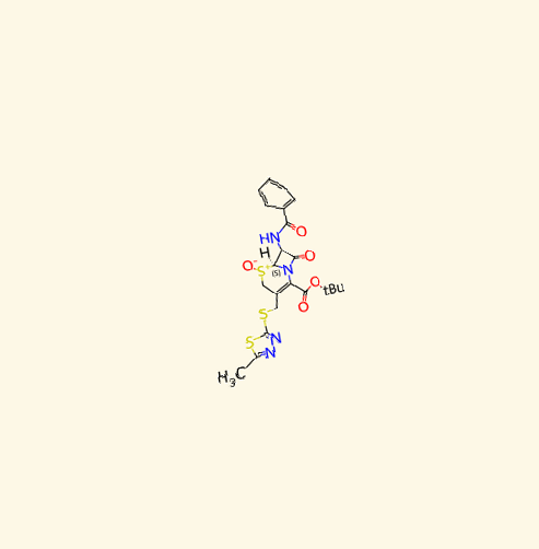 Cc1nnc(SCC2=C(C(=O)OC(C)(C)C)N3C(=O)C(NC(=O)c4ccccc4)[C@@H]3[S+]([O-])C2)s1